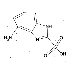 Nc1cccc2[nH]c(S(=O)(=O)O)nc12